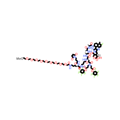 CC[C@@]1(O)C(=O)OCc2c1cc1n(c2=O)Cc2c-1nc1cc(F)c(C)c3c1c2[C@@H](NC(=O)[C@H](C)NC(=O)[C@H](C)NC(=O)[C@H](C)NC(=O)[C@H](CCC(=O)N(CCC(=O)Oc1c(F)c(F)c(F)c(F)c1F)CCC(=O)Oc1c(F)c(F)c(F)c(F)c1F)NC(=O)CCCNC(=O)[C@H](CCCCNC(=O)COCCOCCOCCOCCOCCOCCOCCOCCOCCOC)NC(=O)CCCN1C(=O)C=CC1=O)CC3